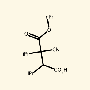 CCCOC(=O)C(C#N)(C(C)C)C(C(=O)O)C(C)C